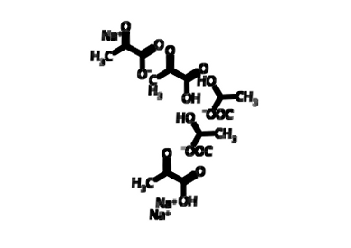 CC(=O)C(=O)O.CC(=O)C(=O)O.CC(=O)C(=O)[O-].CC(O)C(=O)[O-].CC(O)C(=O)[O-].[Na+].[Na+].[Na+]